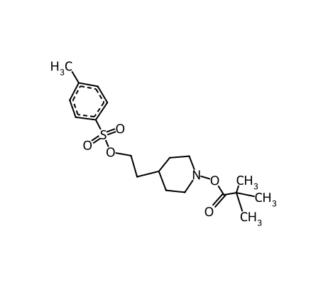 Cc1ccc(S(=O)(=O)OCCC2CCN(OC(=O)C(C)(C)C)CC2)cc1